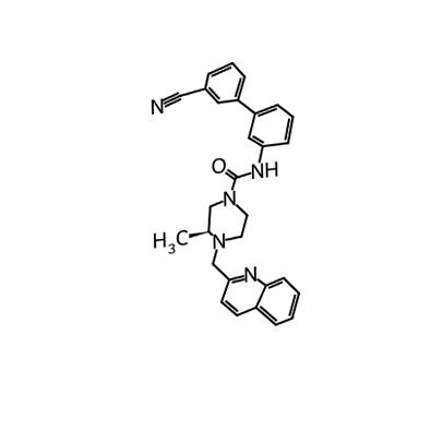 C[C@H]1CN(C(=O)Nc2cccc(-c3cccc(C#N)c3)c2)CCN1Cc1ccc2ccccc2n1